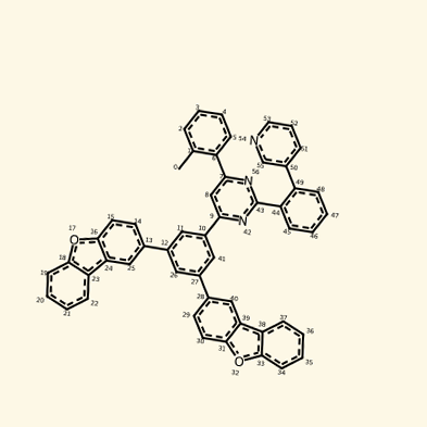 Cc1ccccc1-c1cc(-c2cc(-c3ccc4oc5ccccc5c4c3)cc(-c3ccc4oc5ccccc5c4c3)c2)nc(-c2ccccc2-c2cccnc2)n1